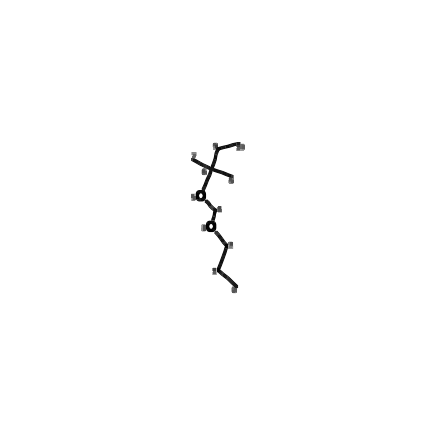 CCCOCOC(C)(C)CC